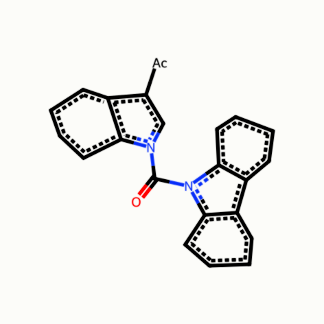 CC(=O)c1cn(C(=O)n2c3ccccc3c3ccccc32)c2ccccc12